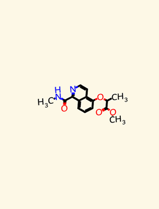 CNC(=O)c1nccc2c(OC(C)C(=O)OC)cccc12